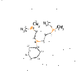 CP(C)CCCP(CCP(C)C)C1CCCCC1